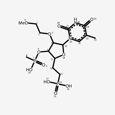 COCCOC1C(OP(C)(=O)O)C(CCP(=O)(O)O)OC1n1cc(C)c(=O)[nH]c1=O